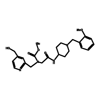 COc1ccccc1CN1CCC(NC(=O)CN(Cc2cc(CO)ccn2)C(=O)OC(C)(C)C)CC1